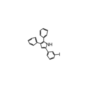 Ic1cccc(-c2cc(-c3ccccc3)c(-c3ccccc3)[nH]2)c1